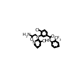 NC(=O)CN(c1cc(C(=O)Nc2ccccc2C(F)(F)F)ccc1Cl)c1ncccc1Cl